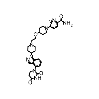 NC(=O)c1ccc(N2CCC(OCCN3CCC(n4ncc5c(N6CCC(=O)NC6=O)cccc54)CC3)CC2)nn1